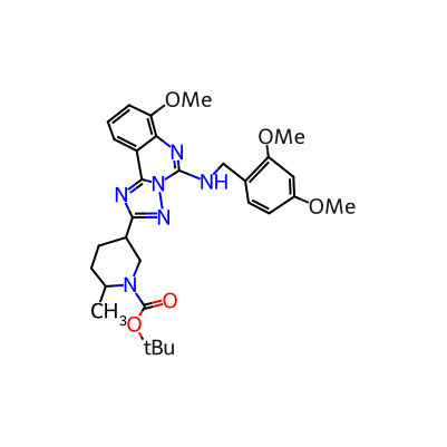 COc1ccc(CNc2nc3c(OC)cccc3c3nc(C4CCC(C)N(C(=O)OC(C)(C)C)C4)nn23)c(OC)c1